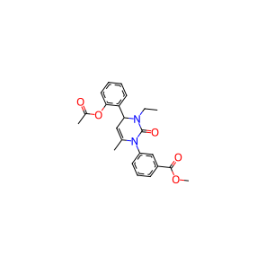 CCN1C(=O)N(c2cccc(C(=O)OC)c2)C(C)=CC1c1ccccc1OC(C)=O